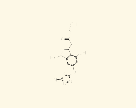 CCOC(=O)CC1OB(O)c2cc(Oc3nnc(N)s3)cc(C)c21